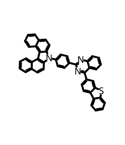 c1ccc2c(c1)ccc1c2c2c3ccccc3ccc2n1-c1ccc(-c2nc(-c3ccc4c(c3)sc3ccccc34)c3ccccc3n2)cc1